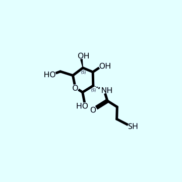 O=C(CCS)N[C@@H]1C(O)OC(CO)[C@@H](O)C1O